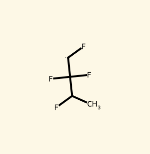 CC(F)C(F)(F)[CH]F